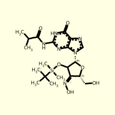 CC(C)C(=O)Nc1nc2c(ncn2[C@@H]2O[C@H](CO)/C(=N\O)C2O[Si](C)(C)C(C)(C)C)c(=O)[nH]1